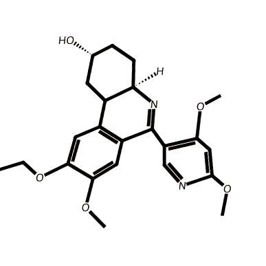 CCOc1cc2c(cc1OC)C(c1cnc(OC)cc1OC)=N[C@@H]1CC[C@@H](O)CC21